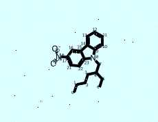 CCCCC(CC)Cn1c2ccccc2c2cc([N+](=O)[O-])ccc21